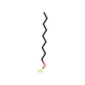 CCCCCCCCCOS